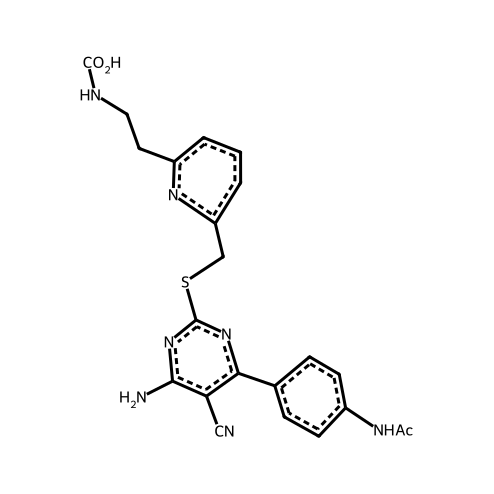 CC(=O)Nc1ccc(-c2nc(SCc3cccc(CCNC(=O)O)n3)nc(N)c2C#N)cc1